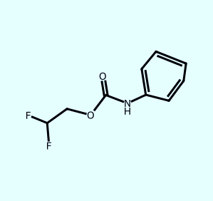 O=C(Nc1ccccc1)OCC(F)F